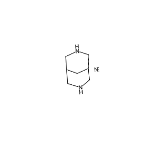 C1NCC2CNCC1C2.[N]